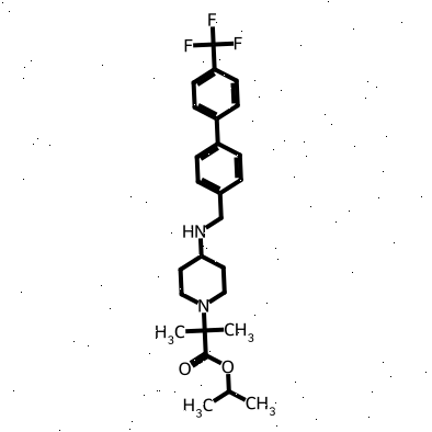 CC(C)OC(=O)C(C)(C)N1CCC(NCc2ccc(-c3ccc(C(F)(F)F)cc3)cc2)CC1